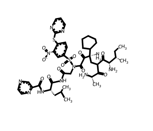 CC[C@H](C)[C@H](N)C(=O)C(C[C@@](N)(C(=O)C(=O)N(CC(=O)NC(=O)[C@H](CC(C)C)NC(=O)c1cnccn1)S(=O)(=O)c1ccc(Sc2ncccn2)c([N+](=O)[O-])c1)C1CCCCC1)C(=O)[C@H](C)N